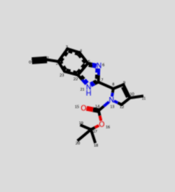 C#Cc1ccc2nc(C3C=C(C)CN3C(=O)OC(C)(C)C)[nH]c2c1